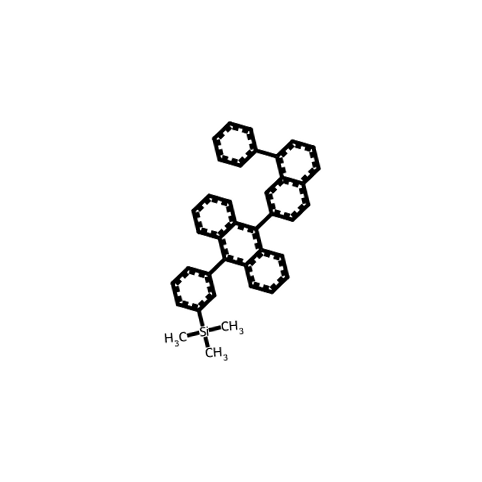 C[Si](C)(C)c1cccc(-c2c3ccccc3c(-c3ccc4cccc(-c5ccccc5)c4c3)c3ccccc23)c1